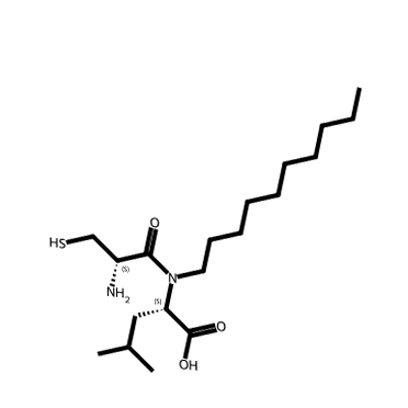 CCCCCCCCCCN(C(=O)[C@H](N)CS)[C@@H](CC(C)C)C(=O)O